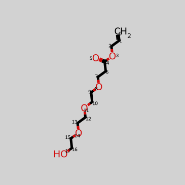 C=CCOC(=O)CCOCCOCCOCCO